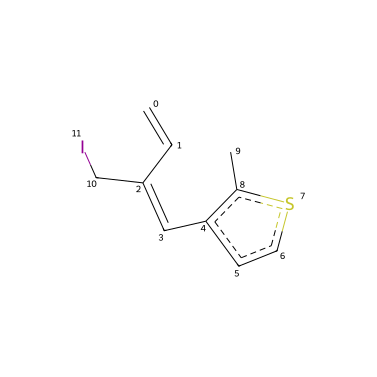 C=C/C(=C\c1ccsc1C)CI